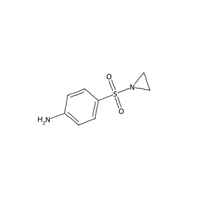 Nc1ccc(S(=O)(=O)N2CC2)cc1